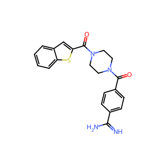 N=C(N)c1ccc(C(=O)N2CCN(C(=O)c3cc4ccccc4s3)CC2)cc1